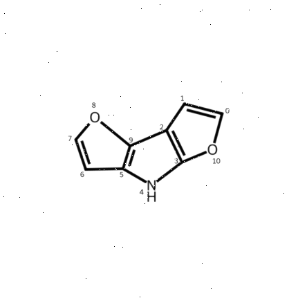 c1cc2c([nH]c3ccoc32)o1